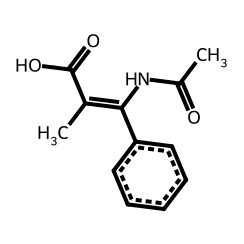 CC(=O)N/C(=C(/C)C(=O)O)c1ccccc1